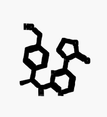 C[C@H](Nc1nccc(N2CCOC2=O)n1)c1ccc(CO)cc1